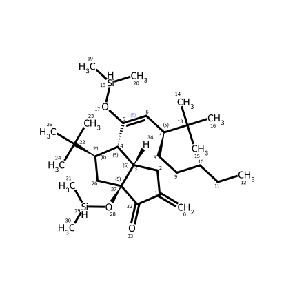 C=C1C[C@H]2[C@@H](/C(=C\[C@H](CCCCC)C(C)(C)C)O[SiH](C)C)[C@H](C(C)(C)C)C[C@@]2(O[SiH](C)C)C1=O